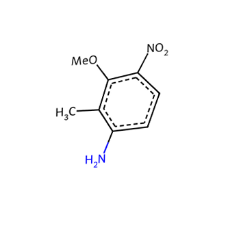 COc1c([N+](=O)[O-])ccc(N)c1C